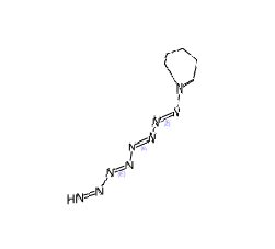 N=N/N=N/N=N/N=N/N1CCCCC1